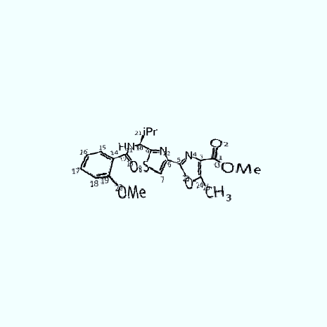 COC(=O)c1nc(-c2csc([C@@H](NC(=O)c3ccccc3OC)C(C)C)n2)oc1C